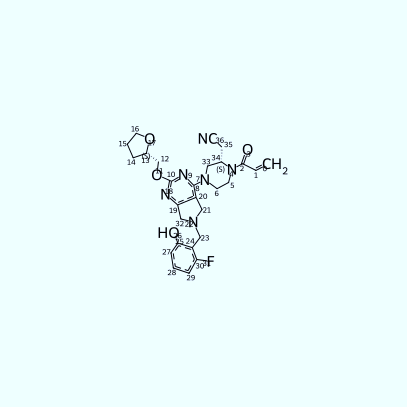 C=CC(=O)N1CCN(c2nc(OC[C@@H]3CCCO3)nc3c2CN(Cc2c(O)cccc2F)C3)C[C@@H]1CC#N